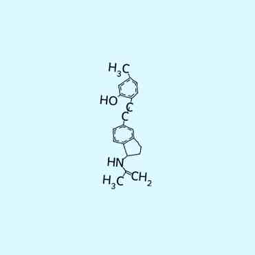 C=C(C)NC1CCc2cc(CCc3ccc(C)cc3O)ccc21